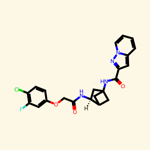 O=C(COc1ccc(Cl)c(F)c1)N[C@H]1CC2(NC(=O)c3cc4ccccn4n3)CC1C2